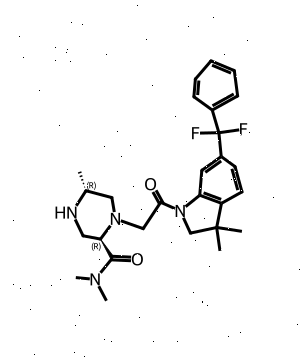 C[C@@H]1CN(CC(=O)N2CC(C)(C)c3ccc(C(F)(F)c4ccccc4)cc32)[C@@H](C(=O)N(C)C)CN1